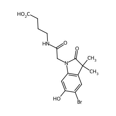 CC1(C)C(=O)N(CC(=O)NCCCC(=O)O)c2cc(O)c(Br)cc21